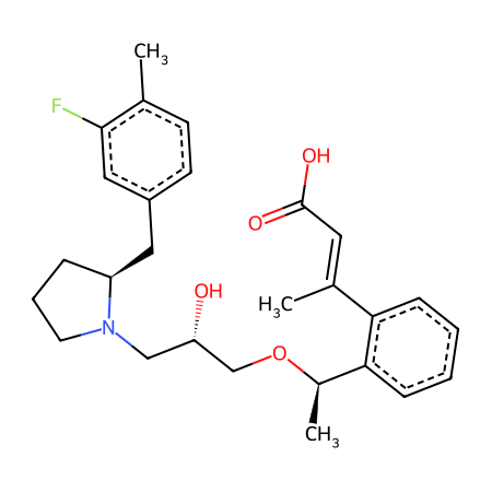 C/C(=C\C(=O)O)c1ccccc1[C@@H](C)OC[C@@H](O)CN1CCC[C@H]1Cc1ccc(C)c(F)c1